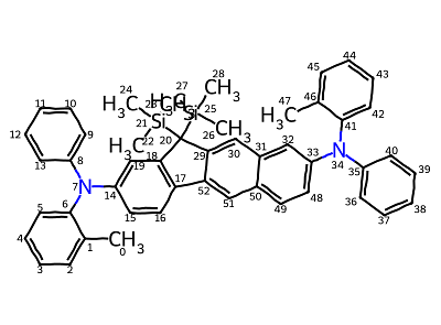 Cc1ccccc1N(c1ccccc1)c1ccc2c(c1)C([Si](C)(C)C)([Si](C)(C)C)c1cc3cc(N(c4ccccc4)c4ccccc4C)ccc3cc1-2